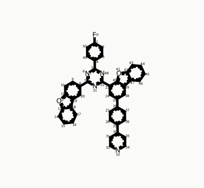 Fc1ccc(-c2nc(-c3ccc4oc5ccccc5c4c3)nc(-c3cc(-c4ccc(-c5ccncc5)cc4)cc4c3oc3ccccc34)n2)cc1